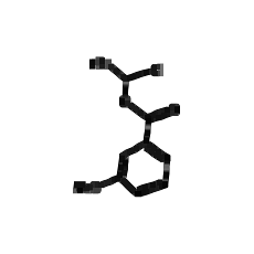 CCCCC(Cl)OC(=O)c1cccc(OC)c1